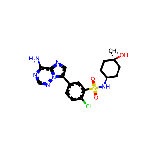 C[C@]1(O)CC[C@@H](NS(=O)(=O)c2cc(-c3cnc4c(N)ncnn34)ccc2Cl)CC1